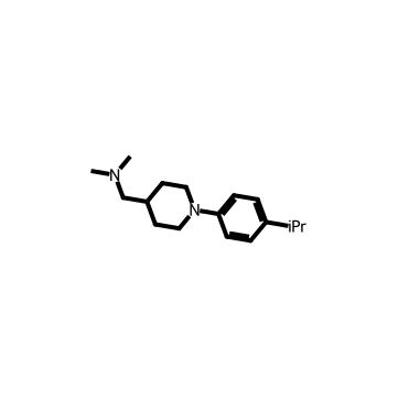 CC(C)c1ccc(N2CCC(CN(C)C)CC2)cc1